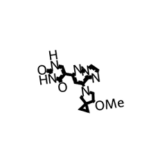 COC1CN(c2cc(-c3c[nH]c(=O)[nH]c3=O)nn3ccnc23)CC12CC2